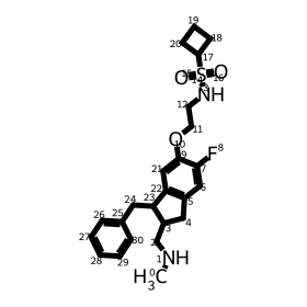 CNCC1Cc2cc(F)c(OCCNS(=O)(=O)C3CCC3)cc2C1Cc1ccccc1